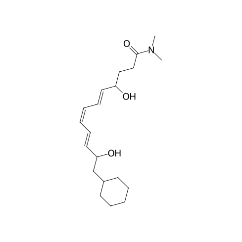 CN(C)C(=O)CCC(O)/C=C/C=C\C=C\C(O)CC1CCCCC1